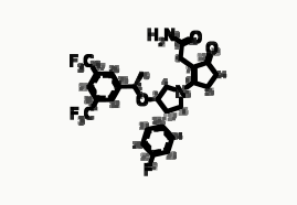 C[C@@H](O[C@H]1CN(C2=C(CC(N)=O)C(=O)CC2)C[C@@H]1c1ccc(F)cc1)c1cc(C(F)(F)F)cc(C(F)(F)F)c1